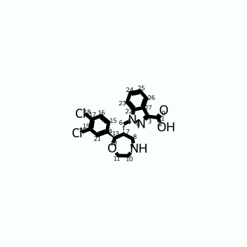 O=C(O)c1nn(C[C@@H]2CNCCO[C@H]2c2ccc(Cl)c(Cl)c2)c2ccccc12